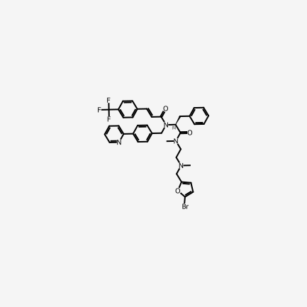 CN(CCN(C)C(=O)[C@H](Cc1ccccc1)N(Cc1ccc(-c2ccccn2)cc1)C(=O)C=Cc1ccc(C(F)(F)F)cc1)Cc1ccc(Br)o1